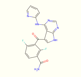 NC(=O)c1ccc(F)c(C(=O)c2c[nH]c3ncnc(Nc4ccccn4)c23)c1F